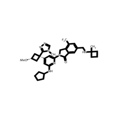 CO[C@H]1C[C@](c2cc(NC3CCCC3)nc(N3Cc4c(cc(CNC5(C)CCC5)cc4C(F)(F)F)C3=O)c2)(c2nncn2C)C1